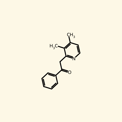 Cc1ccnc(CC(=O)c2ccccc2)c1C